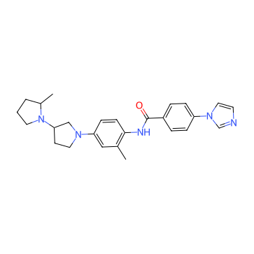 Cc1cc(N2CCC(N3CCCC3C)C2)ccc1NC(=O)c1ccc(-n2ccnc2)cc1